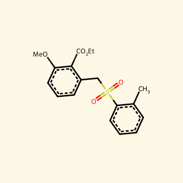 CCOC(=O)c1c(CS(=O)(=O)c2ccccc2C)cccc1OC